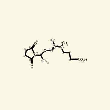 CC(O/N=[N+](\[O-])N(C)CCCC(=O)O)N1C(=O)CCC1=O